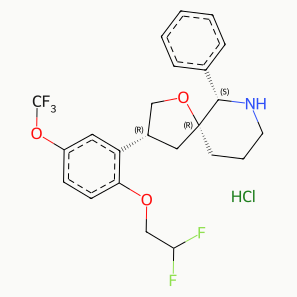 Cl.FC(F)COc1ccc(OC(F)(F)F)cc1[C@@H]1CO[C@]2(CCCN[C@H]2c2ccccc2)C1